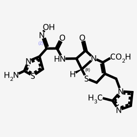 Cc1nccn1CC1=C(C(=O)O)N2C(=O)C(NC(=O)/C(=N\O)c3csc(N)n3)[C@H]2SC1